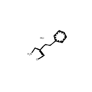 Cl.NCC(=CCl)CCc1ccccc1